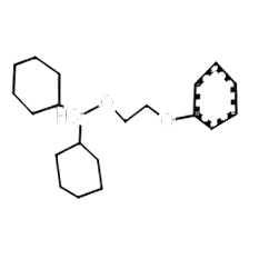 c1ccc(OCCO[SiH](C2CCCCC2)C2CCCCC2)cc1